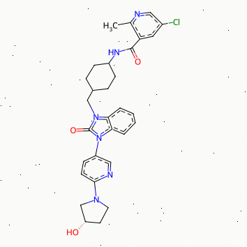 Cc1ncc(Cl)cc1C(=O)NC1CCC(Cn2c(=O)n(-c3ccc(N4CC[C@H](O)C4)nc3)c3ccccc32)CC1